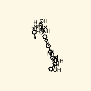 C#Cc1ccc([C@H](C)NC(=O)[C@@H]2C[C@@H](O)CN2C(=O)[C@@H](NC(=O)[C@H]2CCC3(CC2)C[C@H](N2CCC(c4cnc(N5CCN6c7cc(-c8ccccc8O)nnc7NC[C@H]6C5)nc4)CC2)C3)C(C)(C)C)cc1